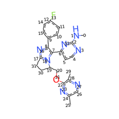 CNc1nccc(-c2c(-c3ccc(F)cc3)nc3n2C(COc2nc(C)cnc2C)CC3)n1